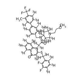 [2H]c1c([2H])c(F)c(F)c(C([2H])([2H])Sc2c([2H])c(=O)c3c([2H])c([2H])c([2H])c([2H])c3n2C([2H])([2H])C(=O)N(Cc2c([2H])c([2H])c(-c3c([2H])c([2H])c(C(F)(F)F)c(C)c3[2H])c([2H])c2[2H])C2([2H])C([2H])([2H])C([2H])([2H])N(CCOC)C([2H])([2H])C2([2H])[2H])c1[2H]